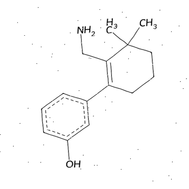 CC1(C)CCCC(c2cccc(O)c2)=C1CN